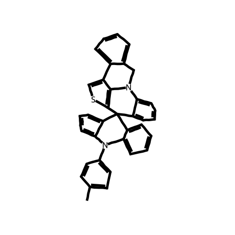 Cc1ccc(N2c3ccccc3C3(c4ccccc4N4Cc5ccccc5-c5csc3c54)c3ccccc32)cc1